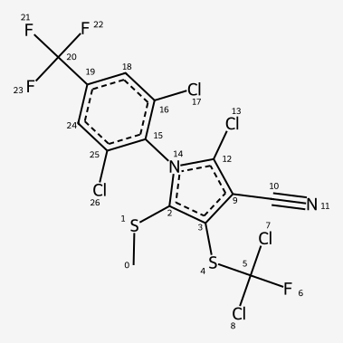 CSc1c(SC(F)(Cl)Cl)c(C#N)c(Cl)n1-c1c(Cl)cc(C(F)(F)F)cc1Cl